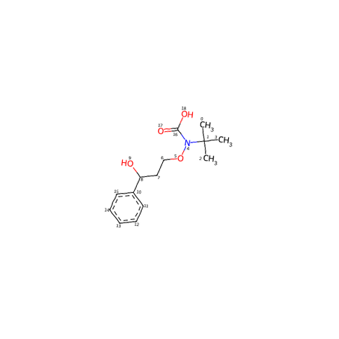 CC(C)(C)N(OCCC(O)c1ccccc1)C(=O)O